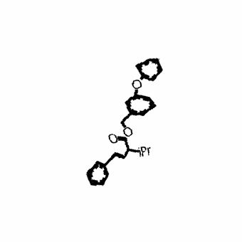 CC(C)C(/C=C/c1ccccc1)C(=O)OCc1cccc(Oc2ccccc2)c1